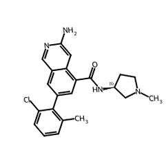 Cc1cccc(Cl)c1-c1cc(C(=O)N[C@H]2CCN(C)C2)c2cc(N)ncc2c1